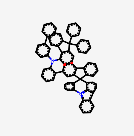 c1ccc(-c2cccc(N(c3ccccc3-c3ccc4c(c3)C3(c5ccccc5-4)c4ccccc4-n4c5ccccc5c5cccc3c54)c3cccc4c3-c3ccccc3C4(c3ccccc3)c3ccccc3)c2)cc1